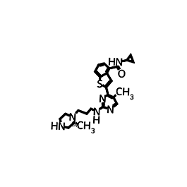 Cc1cnc(NCCCN2CCNC[C@@H]2C)nc1-c1cc2c(C(=O)NC3CC3)cccc2s1